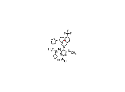 C=Nc1nc(C(=O)O)nc(N[C@H](C)C2CCC2)c1N(Cc1ccc(C(F)(F)F)cc1)CN1CCCC1c1ccccc1